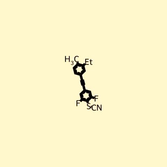 CCc1cc(C#Cc2cc(F)c(SC#N)c(F)c2)ccc1C